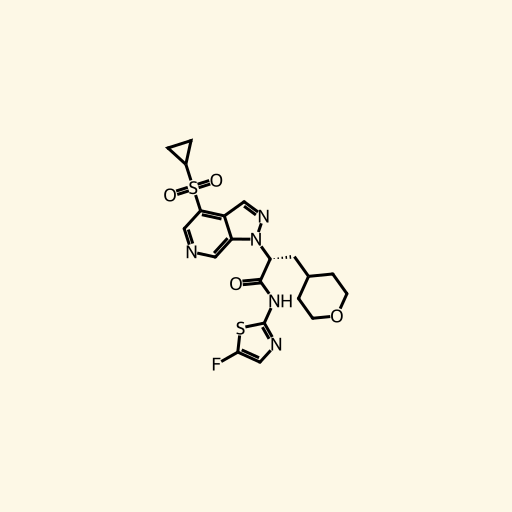 O=C(Nc1ncc(F)s1)[C@@H](CC1CCOCC1)n1ncc2c(S(=O)(=O)C3CC3)cncc21